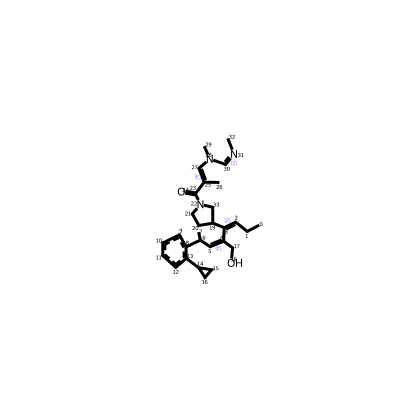 CC/C=C(\C(=C/C(C)c1ccccc1C1CC1)CO)C1CCN(C(=O)/C(C)=C/N(C)/C=N\C)C1